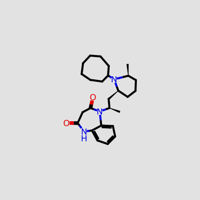 C[C@H](C[C@@H]1CCC[C@H](C)N1C1CCCCCCC1)N1C(=O)CC(=O)Nc2ccccc21